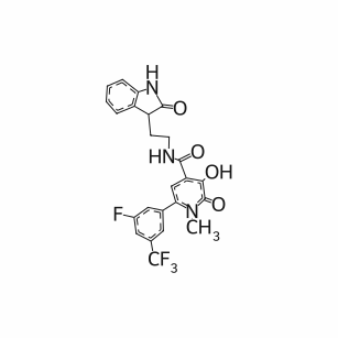 Cn1c(-c2cc(F)cc(C(F)(F)F)c2)cc(C(=O)NCCC2C(=O)Nc3ccccc32)c(O)c1=O